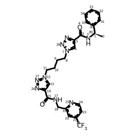 C[C@@H](NC(=O)c1cn(CCCCn2cc(C(=O)NCc3cc(C(F)(F)F)ccn3)nn2)nn1)c1ccccc1